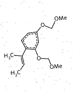 [CH2]C=C(C)c1ccc(OCOC)cc1OCOC